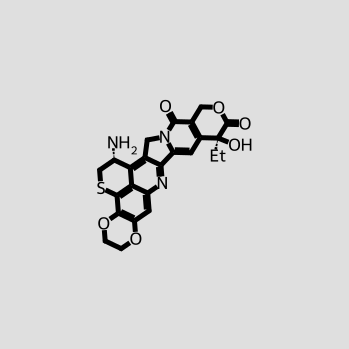 CC[C@@]1(O)C(=O)OCc2c1cc1n(c2=O)Cc2c-1nc1cc3c(c4c1c2[C@@H](N)CS4)OCCO3